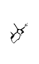 CC(=O)c1cn2c(c1C)C=CCC2